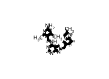 Cc1cn2cc(Cn3cc4c(NCc5c(C)cc(N)nc5C)ncnc4n3)ccc2n1